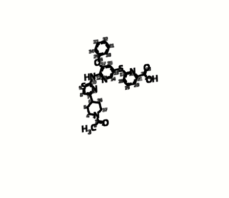 CC(=O)N1CCC(c2csc(Nc3ncc(Sc4cccc(C(=O)O)n4)cc3Oc3ccccc3)n2)CC1